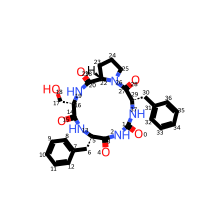 O=C1NC(=O)[C@H](Cc2ccccc2)NC(=O)[C@H](CO)NC(=O)[C@@H]2CCCN2C(=O)[C@H](Cc2ccccc2)N1